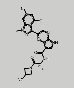 C[C@@H](NC(=O)c1c[nH]c2ncc(-c3nn(C)c4cc(Cl)cc(F)c34)nc12)C(=O)N1CC(C#N)C1